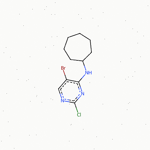 Clc1ncc(Br)c(NC2CCCCCC2)n1